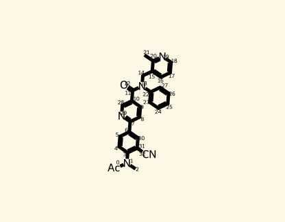 CC(=O)N(C)c1ccc(-c2ccc(C(=O)N(Cc3cccnc3C)c3ccccc3)cn2)cc1C#N